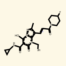 Cc1nn2c(O)c(C(=O)NC3CC3)c(=O)n(CC(C)C)c2c1/C=C/C(=O)N1CCC(F)CC1